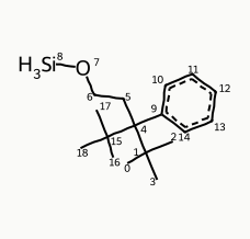 CC(C)(C)C(CCO[SiH3])(c1ccccc1)C(C)(C)C